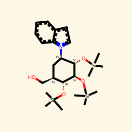 C[Si](C)(C)O[C@H]1[C@H](O[Si](C)(C)C)[C@@H](CO)C[C@@H](n2ccc3ccccc32)[C@@H]1O[Si](C)(C)C